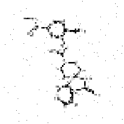 COC(=O)c1ccc(N)c(NC(=O)C2CCC3(CC2)OC(=O)c2ccccc23)c1